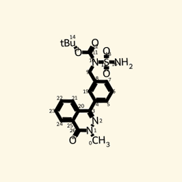 Cn1nc(-c2cccc(CN(C(=O)OC(C)(C)C)S(N)(=O)=O)c2)c2ccccc2c1=O